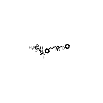 C=C(NCCS(N)(=O)=O)Nc1ccc(CCCn2cc(COc3ccccc3)nn2)cc1